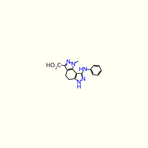 Cn1nc(C(=O)O)c2c1-c1c(Nc3ccccc3)n[nH]c1CC2